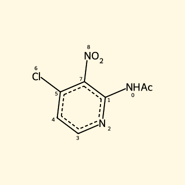 CC(=O)Nc1nccc(Cl)c1[N+](=O)[O-]